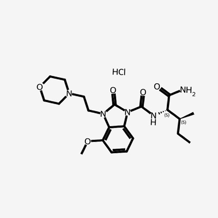 CC[C@H](C)[C@H](NC(=O)n1c(=O)n(CCN2CCOCC2)c2c(OC)cccc21)C(N)=O.Cl